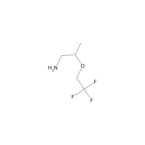 CC(CN)OCC(F)(F)F